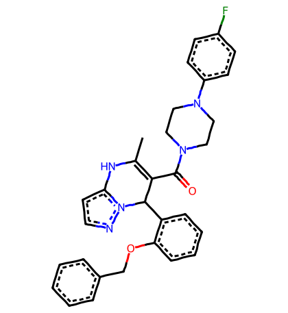 CC1=C(C(=O)N2CCN(c3ccc(F)cc3)CC2)C(c2ccccc2OCc2ccccc2)n2nccc2N1